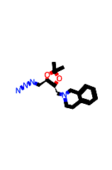 CC1(C)O[C@H](CN=[N+]=[N-])[C@@H](CN2CCc3ccccc3C2)O1